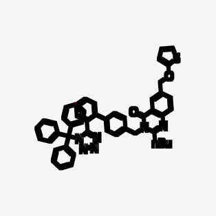 CCCCc1nc2ccc(COc3cccs3)cc2c(=O)n1Cc1ccc(-c2ccccc2-c2nnnn2C(c2ccccc2)(c2ccccc2)c2ccccc2)cc1